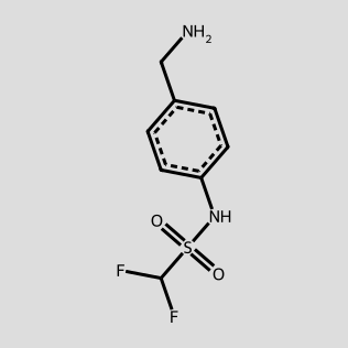 NCc1ccc(NS(=O)(=O)C(F)F)cc1